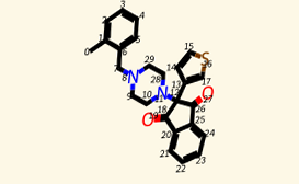 Cc1ccccc1CN1CCN(C2(c3ccsc3)C(=O)c3ccccc3C2=O)CC1